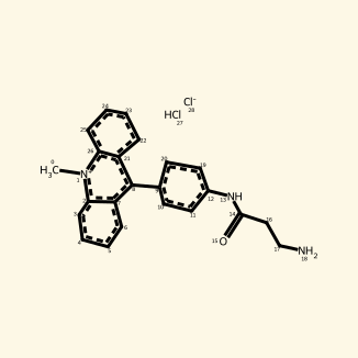 C[n+]1c2ccccc2c(-c2ccc(NC(=O)CCN)cc2)c2ccccc21.Cl.[Cl-]